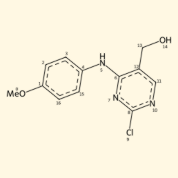 COc1ccc(Nc2nc(Cl)ncc2CO)cc1